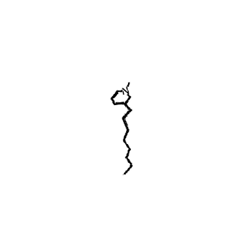 CCCCCCCCC1=CC=CN(C)C1